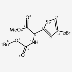 COC(=O)C(NC(=O)OC(C)(C)C)c1cc(Br)cs1